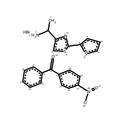 Br.CC(N)c1csc(-c2cccs2)n1.O=C(c1ccccc1)c1ccc([N+](=O)[O-])cc1